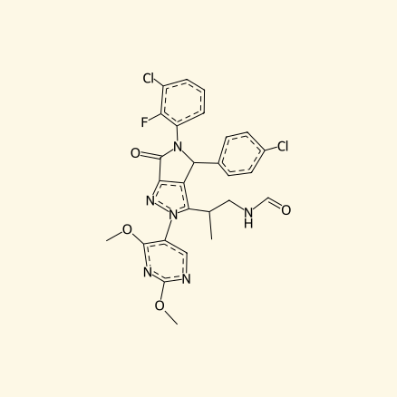 COc1ncc(-n2nc3c(c2C(C)CNC=O)C(c2ccc(Cl)cc2)N(c2cccc(Cl)c2F)C3=O)c(OC)n1